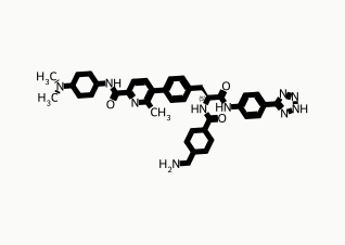 Cc1nc(C(=O)NC2CCC(N(C)C)CC2)ccc1-c1ccc(C[C@H](NC(=O)C2CCC(CN)CC2)C(=O)Nc2ccc(-c3nn[nH]n3)cc2)cc1